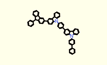 c1ccc(-c2ccc(-n3c4ccccc4c4cc(-c5ccc(-n6c7ccccc7c7cc(-c8ccc9c(c8)-c8ccccc8C9c8ccccc8)ccc76)cc5)ccc43)cc2)cc1